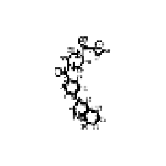 O=C(c1ccc(-c2cnc3ccccc3c2)cc1)N1CCN(C(=O)C2CCO2)CC1